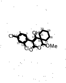 COC1OC(=O)C(c2ccc(Cl)cc2Cl)=C(O)C12CCCCC2